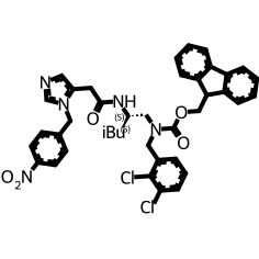 CC[C@H](C)[C@@H](CN(Cc1cccc(Cl)c1Cl)C(=O)OCC1c2ccccc2-c2ccccc21)NC(=O)Cc1cncn1Cc1ccc([N+](=O)[O-])cc1